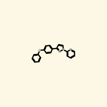 c1ccc(Oc2ccc(-c3ccn(-c4ccccn4)n3)cc2)cc1